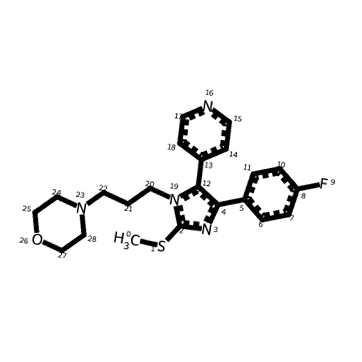 CSc1nc(-c2ccc(F)cc2)c(-c2ccncc2)n1CCCN1CCOCC1